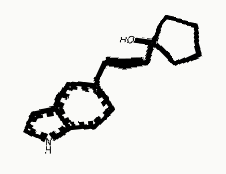 OC1(C=Cc2ccc3[nH]ccc3c2)CCCC1